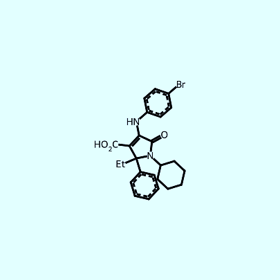 CCC1(c2ccccc2)C(C(=O)O)=C(Nc2ccc(Br)cc2)C(=O)N1C1CCCCC1